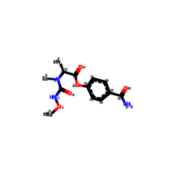 CCCCONC(=O)N(CC)[C@@H](CCC)C(=O)Oc1ccc(C(N)=O)cc1